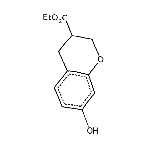 CCOC(=O)C1COc2cc(O)ccc2C1